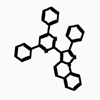 c1ccc(-c2cc(-c3ccccc3)nc(-c3c(-c4ccccc4)nn4c3ccc3ccccc34)n2)cc1